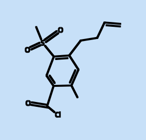 C=CCCc1cc(C)c(C(=O)Cl)cc1S(C)(=O)=O